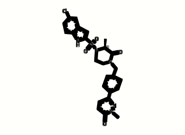 C[C@H]1C(=O)N(Cc2ccc(-c3ccc(=O)n(C)n3)cc2)CCN1S(=O)(=O)c1cc2cc(Cl)ccc2[nH]1